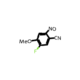 COc1cc(N=O)c(C#N)cc1F